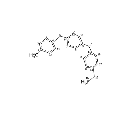 Cc1ccc(Cc2ccc(Cc3ccc(CP)cc3)cc2)cc1